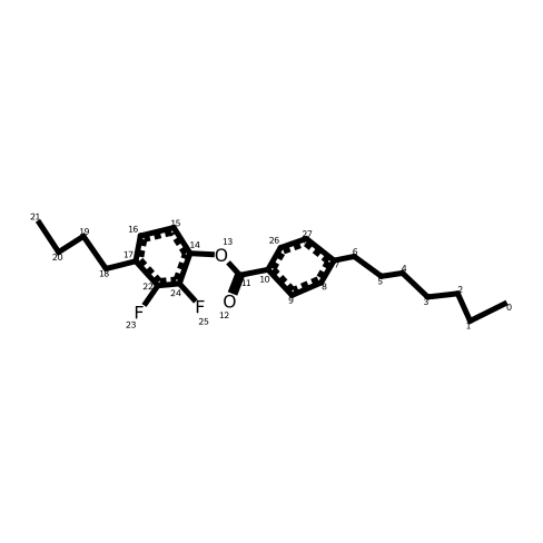 CCCCCCCc1ccc(C(=O)Oc2ccc(CCCC)c(F)c2F)cc1